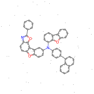 c1ccc(-c2nc3ccc4oc5ccc(N(c6ccc(-c7cccc8ccccc78)cc6)c6cccc7c6oc6ccccc67)cc5c4c3o2)cc1